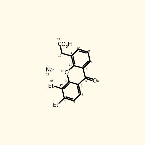 CCc1ccc2c(=O)c3cccc(CC(=O)O)c3oc2c1CC.[Na]